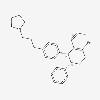 C/C=C\C1=C(CC)CC[C@H](c2ccccc2)[C@@H]1c1ccc(CCCN2CCCC2)cc1